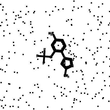 Cc1ccc(-n2cnc(C)c2)c(OC(F)(F)F)c1